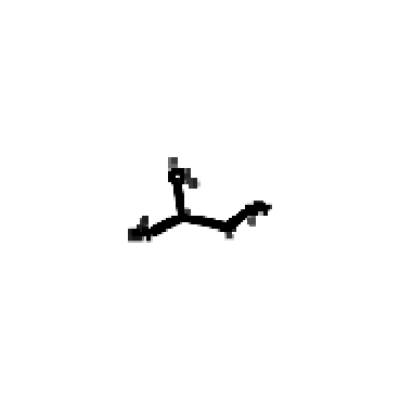 CCC[C]C(C)CCC